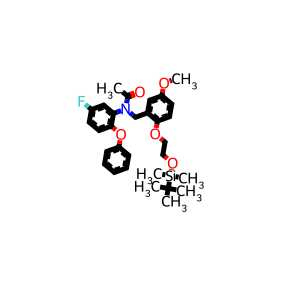 COc1ccc(OCCO[Si](C)(C)C(C)(C)C)c(CN(C(C)=O)c2cc(F)ccc2Oc2ccccc2)c1